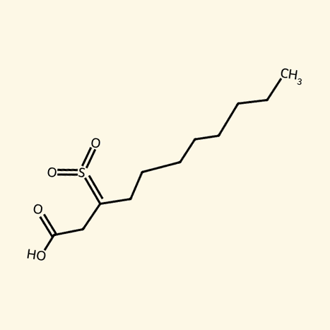 CCCCCCCCC(CC(=O)O)=S(=O)=O